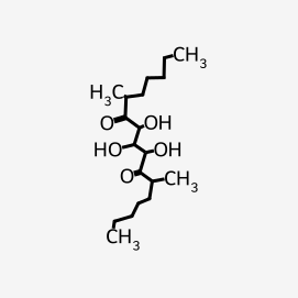 CCCCCC(C)C(=O)C(O)C(O)C(O)C(=O)C(C)CCCCC